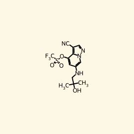 CC(C)(O)CNc1cc(OS(=O)(=O)C(F)(F)F)c2c(C#N)cnn2c1